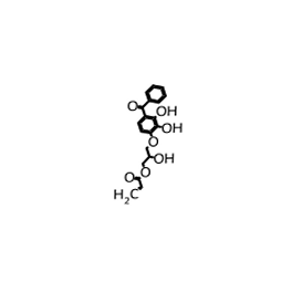 C=CC(=O)OCC(O)COc1ccc(C(=O)c2ccccc2)c(O)c1O